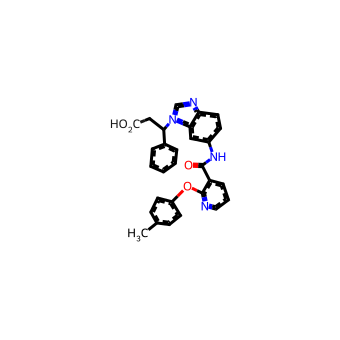 Cc1ccc(Oc2ncccc2C(=O)Nc2ccc3ncn(C(CC(=O)O)c4ccccc4)c3c2)cc1